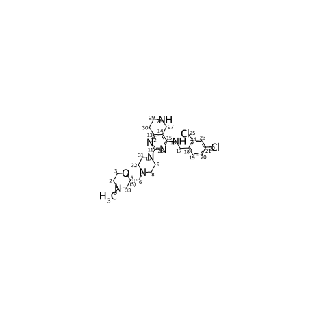 CN1CCO[C@H](CN2CCN(c3nc4c(c(NCc5ccc(Cl)cc5Cl)n3)CNCC4)CC2)C1